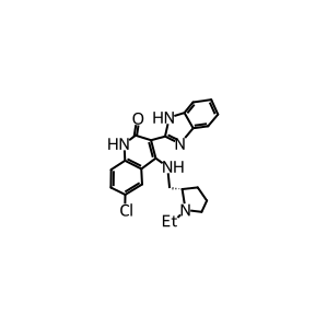 CCN1CCC[C@H]1CNc1c(-c2nc3ccccc3[nH]2)c(=O)[nH]c2ccc(Cl)cc12